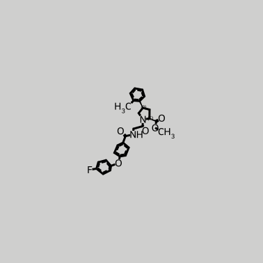 COC(=O)[C@@H]1C[C@H](c2ccccc2C)CN1C(=O)CNC(=O)c1ccc(Oc2ccc(F)cc2)cc1